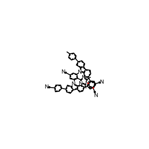 Cc1ccc(-c2ccc3c4ccc(-c5ccc(C#N)cc5)cc4n(-c4cc(C#N)cc(-n5c6cc(-c7ccc(C#N)cc7)ccc6c6ccc(-c7ccc(C#N)cc7)cc65)c4-c4nc(C)nc(C)n4)c3c2)cc1